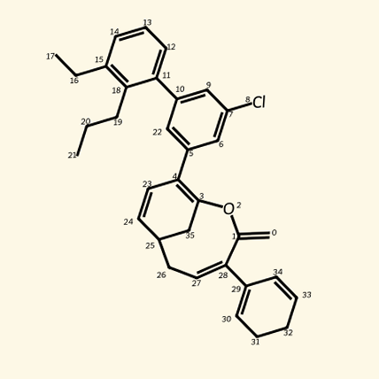 C=C1OC2=C(c3cc(Cl)cc(-c4cccc(CC)c4CCC)c3)C=CC(C/C=C\1C1=CCCC=C1)C2